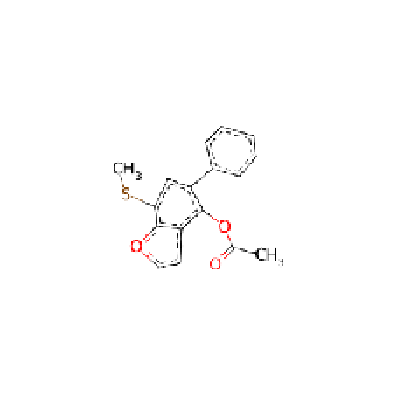 CSc1cc(-c2ccccc2)c(OC(C)=O)c2ccoc12